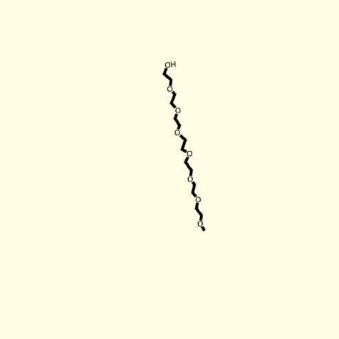 COCCOCCOCCOCCOCCOCCOCCO